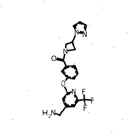 NCc1cc(Oc2cccc(C(=O)N3CC(n4cccn4)C3)c2)nc(C(F)(F)F)c1